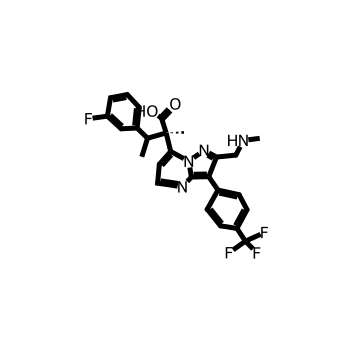 CNCc1nn2c([C@](C)(C(=O)O)C(C)c3cccc(F)c3)ccnc2c1-c1ccc(C(F)(F)F)cc1